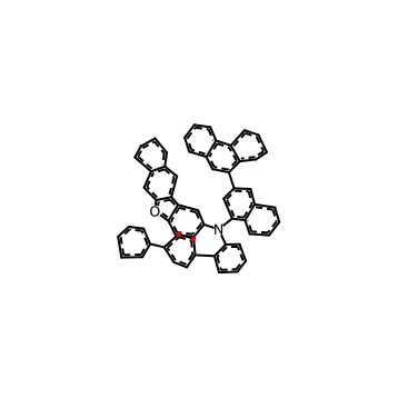 c1ccc(-c2ccc(-c3ccccc3N(c3ccc4oc5cc6ccccc6cc5c4c3)c3cc(-c4cc5ccccc5c5ccccc45)cc4ccccc34)cc2)cc1